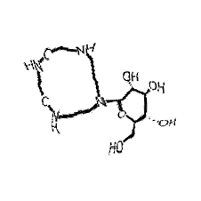 OC[C@H]1O[C@@H](N2CCNCCNCCNCC2)[C@H](O)[C@@H](O)[C@@H]1O